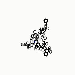 CC(C)C[C@@H](/C=C/[C@H](Cc1ccccc1)C(=O)N1CCC[C@H]1C(=O)NC(C(=O)N[C@@H](CCCNC(=O)OCc1ccccc1)C(=O)NCCC(=O)OC1CC2=C(OC1(C)C)c1ccccc1C(=O)C2=O)C(C)C)NC(=O)OC(C)(C)C